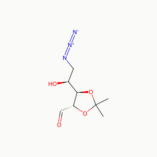 CC1(C)O[C@H]([C@@H](O)CN=[N+]=[N-])[C@@H](C=O)O1